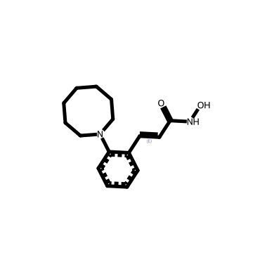 O=C(/C=C/c1ccccc1N1CCCCCCC1)NO